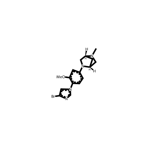 COc1cc(N2C[C@H]3C[C@@H]2CN3C)ccc1-n1cnc(Br)c1